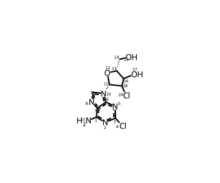 Nc1nc(Cl)nc2c1ncn2[C@@H]1O[C@H](CO)C(O)C1Cl